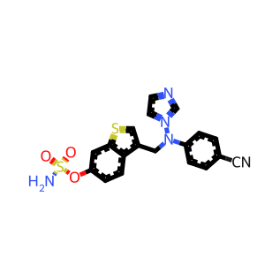 N#Cc1ccc(N(Cc2csc3cc(OS(N)(=O)=O)ccc23)n2ccnc2)cc1